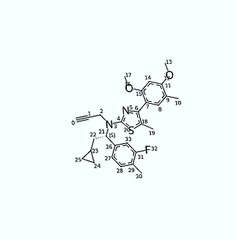 C#CCN(c1nc(-c2cc(C)c(OC)cc2OC)c(C)s1)[C@@H](CC1CC1)c1ccc(C)c(F)c1